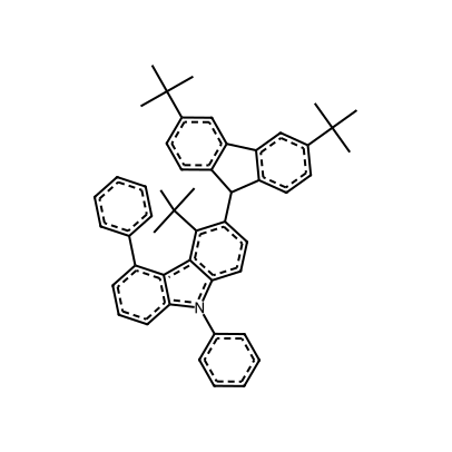 CC(C)(C)c1ccc2c(c1)-c1cc(C(C)(C)C)ccc1C2c1ccc2c(c1C(C)(C)C)c1c(-c3ccccc3)cccc1n2-c1ccccc1